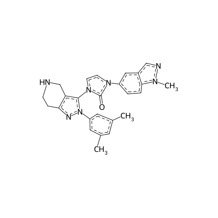 Cc1cc(C)cc(-n2nc3c(c2-n2ccn(-c4ccc5c(cnn5C)c4)c2=O)CNCC3)c1